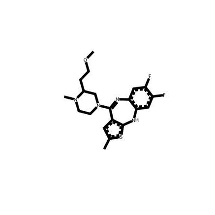 COCCC1CN(C2=Nc3cc(F)c(F)cc3Nc3sc(C)cc32)CCN1C